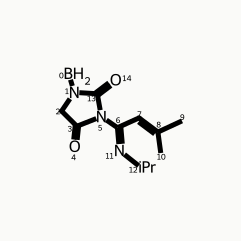 BN1CC(=O)N(/C(C=C(C)C)=N/C(C)C)C1=O